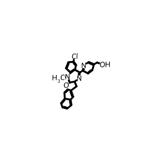 CN1C(=O)C(Cc2ccc3ccccc3c2)N=C(c2ccc(CO)cn2)c2cc(Cl)ccc21